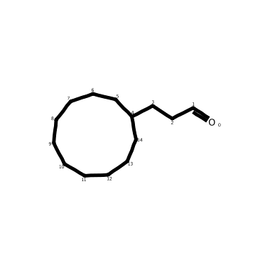 O=CCCC1CCCCCCCCCC1